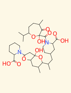 CC1CCC(C(C)C)OC(O)(C(=O)N2CCC(CC(C)C3OC(O)(CC(=O)N4CCCCC4C(=O)O)C(C)CC3C)CC2C(=O)O)C1=O